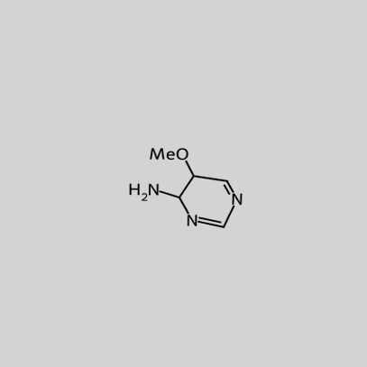 COC1C=NC=NC1N